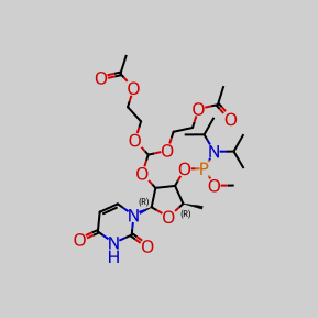 COP(OC1C(OC(OCCOC(C)=O)OCCOC(C)=O)[C@H](n2ccc(=O)[nH]c2=O)O[C@@H]1C)N(C(C)C)C(C)C